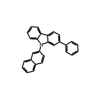 c1ccc(-c2ccc3c4ccccc4n(-c4ccc5ccccc5c4)c3c2)cc1